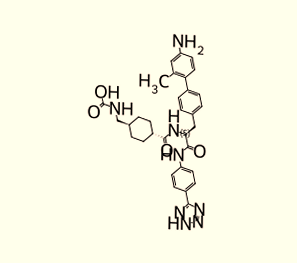 Cc1cc(N)ccc1-c1ccc(C[C@H](NC(=O)[C@H]2CC[C@H](CNC(=O)O)CC2)C(=O)Nc2ccc(-c3nn[nH]n3)cc2)cc1